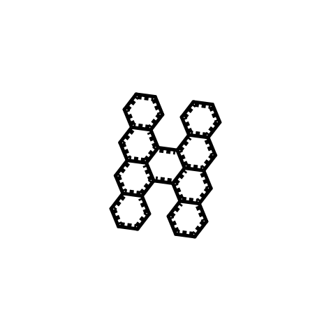 c1ccc2c(c1)cc1cc3ccccc3c3c1c2c1c2ccccc2cc2cc4ccccc4c3c21